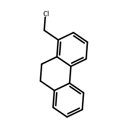 ClCc1cccc2c1CCc1ccccc1-2